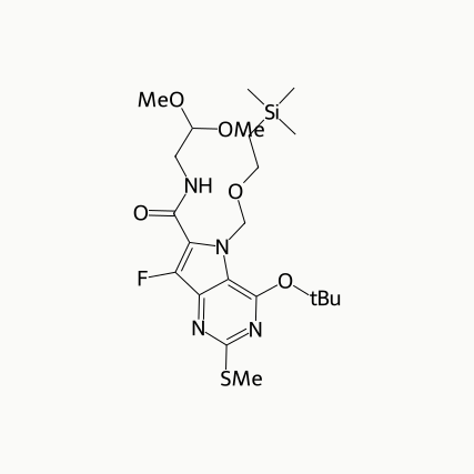 COC(CNC(=O)c1c(F)c2nc(SC)nc(OC(C)(C)C)c2n1COCC[Si](C)(C)C)OC